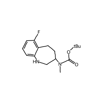 CN(C(=O)OC(C)(C)C)C1CCc2c(F)cccc2NC1